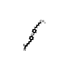 CCCCCCC[C@H]1CC[C@H](COC2CCC(CCC=CC=C(F)C#N)CC2)CC1